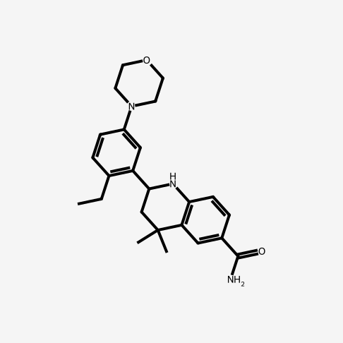 CCc1ccc(N2CCOCC2)cc1C1CC(C)(C)c2cc(C(N)=O)ccc2N1